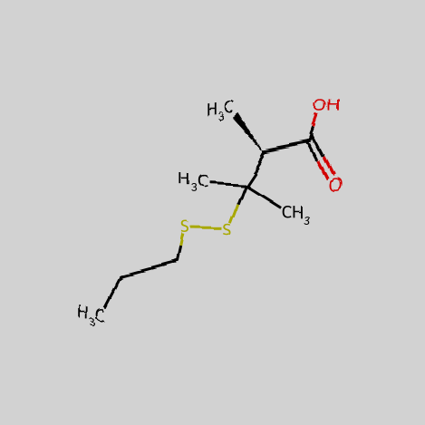 CCCSSC(C)(C)[C@@H](C)C(=O)O